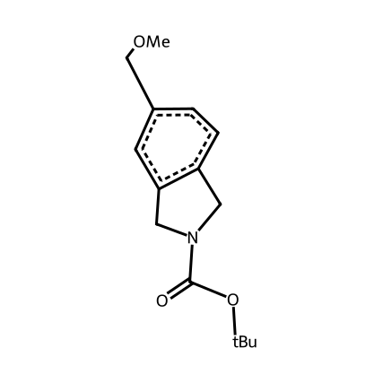 COCc1ccc2c(c1)CN(C(=O)OC(C)(C)C)C2